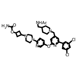 CC(=O)NCC1CCN(Cc2cc(Oc3ccc(N4CCN(C5CC(OC(N)=O)C5)CC4)nc3)nc(-c3cc(Cl)cc(Cl)c3)c2)CC1